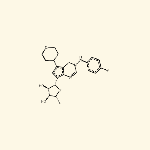 C[C@H]1O[C@@H](n2cc(C3CCOCC3)c3c2N=CN(Nc2ccc(F)cc2)C3)[C@H](O)[C@@H]1O